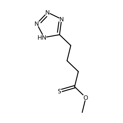 COC(=S)CCCc1nnn[nH]1